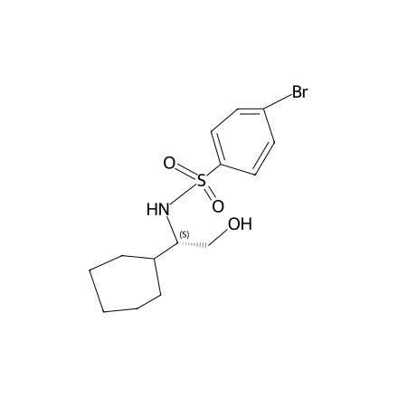 O=S(=O)(N[C@H](CO)C1CCCCC1)c1ccc(Br)cc1